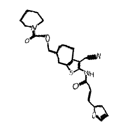 N#Cc1c(NC(=O)C=Cc2ccco2)sc2c1CCC(COC(=O)N1CCCCC1)C2